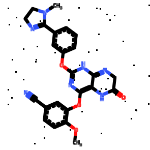 COc1ccc(C#N)cc1OC1=C2NC(=O)CN=C2NC(Oc2cccc(C3=NCCN3C)c2)=N1